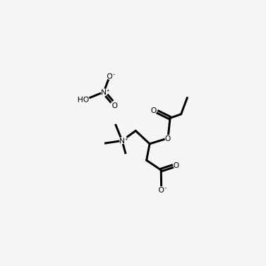 CCC(=O)OC(CC(=O)[O-])C[N+](C)(C)C.O=[N+]([O-])O